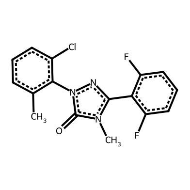 Cc1cccc(Cl)c1-n1nc(-c2c(F)cccc2F)n(C)c1=O